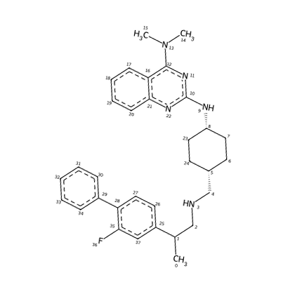 CC(CNC[C@H]1CC[C@@H](Nc2nc(N(C)C)c3ccccc3n2)CC1)c1ccc(-c2ccccc2)c(F)c1